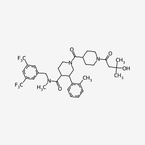 Cc1ccccc1C1CN(C(=O)C2CCN(C(=O)CC(C)(C)O)CC2)CCC1C(=O)N(C)Cc1cc(C(F)(F)F)cc(C(F)(F)F)c1